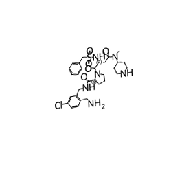 CN(C(=O)C[C@@H](NS(=O)(=O)Cc1ccccc1)C(=O)N1CCC[C@H]1C(=O)NCc1cc(Cl)ccc1CN)C1CCNCC1